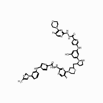 Cc1cn(-c2cccc(Nc3ccc(C(=O)NNc4ncc(F)c(N5CCOC(CC6CCNN6c6cc(O)cc(Nc7ccc(C(=O)NNc8ncc(F)c(N9CCOCC9)n8)nc7)c6)C5)n4)nc3)c2)cn1